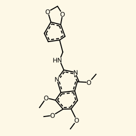 COc1cc2c(OC)nc(NCc3ccc4c(c3)OCO4)nc2c(OC)c1OC